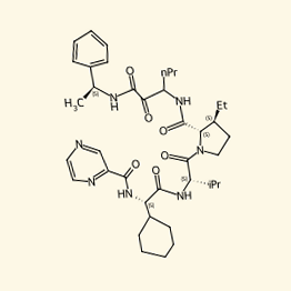 CCCC(NC(=O)[C@@H]1[C@@H](CC)CCN1C(=O)[C@@H](NC(=O)[C@@H](NC(=O)c1cnccn1)C1CCCCC1)C(C)C)C(=O)C(=O)N[C@@H](C)c1ccccc1